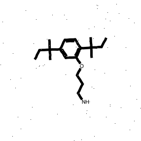 CCC(C)(C)c1ccc(C(C)(C)CC)c(OCCC[NH])c1